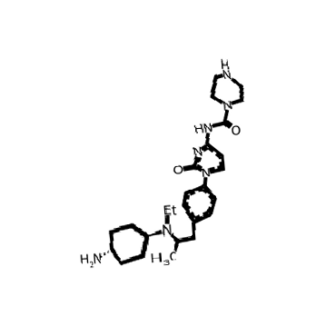 CCN(C(C)Cc1ccc(-n2ccc(NC(=O)N3CCNCC3)nc2=O)cc1)[C@H]1CC[C@H](N)CC1